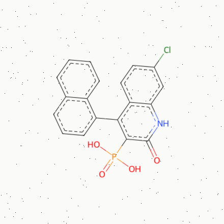 O=c1[nH]c2cc(Cl)ccc2c(-c2cccc3ccccc23)c1P(=O)(O)O